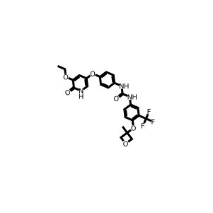 CCOc1cc(Oc2ccc(NC(=O)Nc3ccc(OC4(C)COC4)c(C(F)(F)F)c3)cc2)c[nH]c1=O